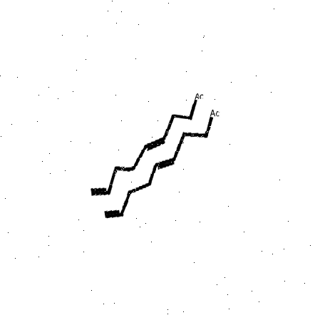 C=CCCC=CCCC(C)=O.C=CCCC=CCCC(C)=O